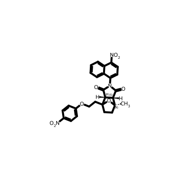 C[C@]12CCC(CCOc3ccc([N+](=O)[O-])cc3)(O1)[C@@H]1C(=O)N(c3ccc([N+](=O)[O-])c4ccccc34)C(=O)[C@@H]12